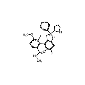 CNC(=O)c1ccc(OC)c(F)c1-c1c(Cl)c(F)cc2c1C[C@](c1ccccc1)(C1CCCN1)O2